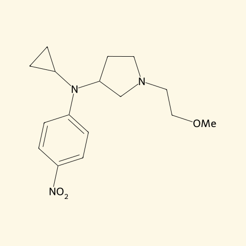 COCCN1CCC(N(c2ccc([N+](=O)[O-])cc2)C2CC2)C1